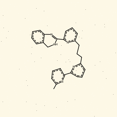 Cc1cccc(-c2cccc(CCCc3cccc(C4=Nc5ccccc5CN4)n3)n2)n1